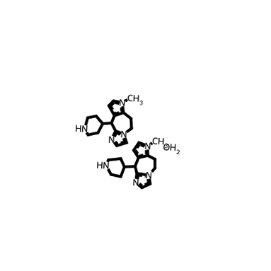 Cn1ccc2c1CCn1ccnc1C2C1CCNCC1.Cn1ccc2c1CCn1ccnc1C2C1CCNCC1.O